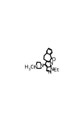 CCn1ncc2c(N3CCN(C)CC3)c3c(nc21)C(=O)c1ccccc1CC3